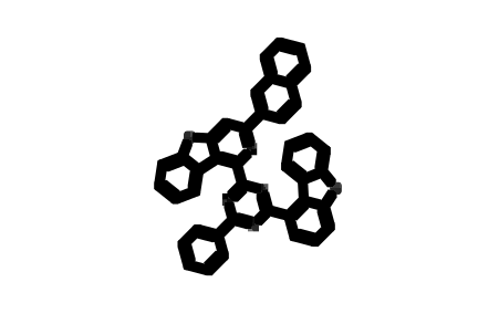 c1ccc(-c2nc(-c3cccc4oc5ccccc5c34)nc(-c3nc(-c4ccc5ccccc5c4)cc4oc5ccccc5c34)n2)cc1